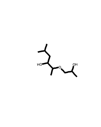 CC(C)CC(O)C(C)OCC(C)O